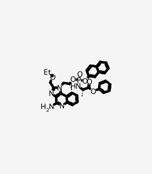 CCOCc1nc2c(N)nc3ccccc3c2n1C[C@@H](C)OP(=O)(N[C@@H](C)C(=O)Oc1ccccc1)Oc1ccc2ccccc2c1